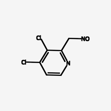 O=NCc1nccc(Cl)c1Cl